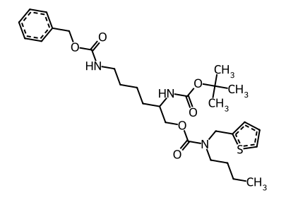 CCCCN(Cc1cccs1)C(=O)OCC(CCCCNC(=O)OCc1ccccc1)NC(=O)OC(C)(C)C